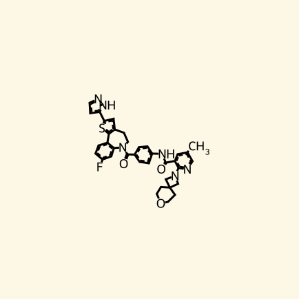 Cc1cnc(N2CC3(CCOCC3)C2)c(C(=O)Nc2ccc(C(=O)N3CCc4cc(-c5ccn[nH]5)sc4-c4ccc(F)cc43)cc2)c1